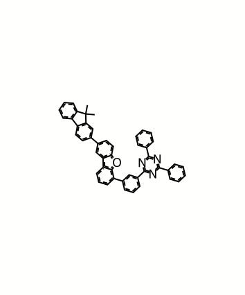 CC1(C)c2ccccc2-c2ccc(-c3ccc4oc5c(-c6cccc(-c7nc(-c8ccccc8)nc(-c8ccccc8)n7)c6)cccc5c4c3)cc21